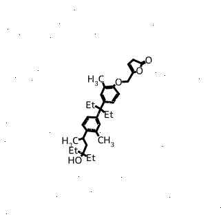 CCC(O)(CC)CC(C)c1ccc(C(CC)(CC)c2ccc(OCC3=CCC(=O)O3)c(C)c2)cc1C